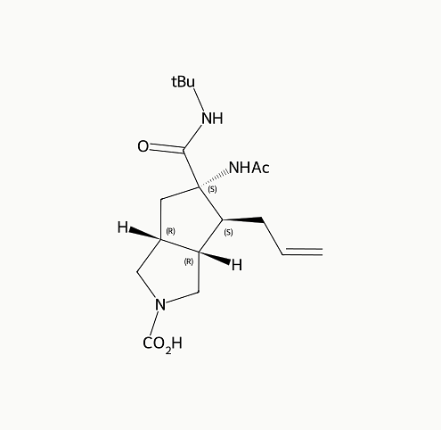 C=CC[C@H]1[C@@H]2CN(C(=O)O)C[C@@H]2C[C@@]1(NC(C)=O)C(=O)NC(C)(C)C